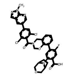 Cn1ncc2cc(-c3cc(Cl)c(C(=O)N4COc5c(cccc5-c5cc(N6C7CCC6COC7)c(C(=O)O)cc5F)C4)c(Cl)c3)cnc21